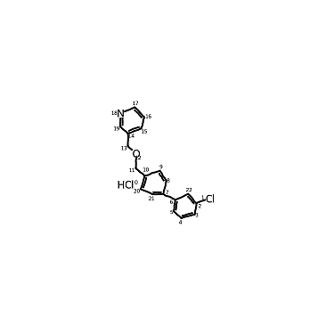 Cl.Clc1cccc(-c2ccc(COCc3cccnc3)cc2)c1